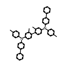 Cc1ccc(N(c2ccc(-c3ccccc3)cc2)c2ccc(-c3ccc(N(c4ccc(C)cc4)c4ccc(-c5ccccc5)cc4)cc3C)c(C)c2)cc1